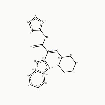 O=C(Nc1nccs1)/C(=C/C1CCCCC1)c1cc2ccccc2s1